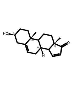 C[C@]12CC[C@H](O)CC1=CC[C@@H]1C2CC[C@]2(C)C(=O)C=CC12